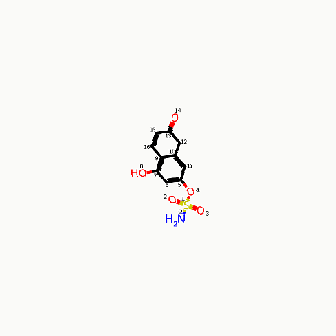 NS(=O)(=O)Oc1cc(O)c2c(c1)CC(=O)C=C2